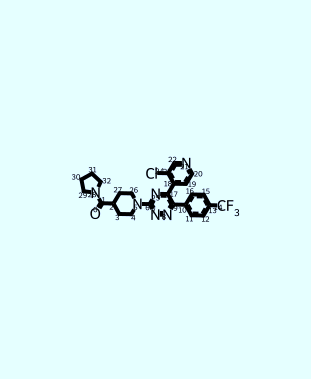 O=C(C1CCN(c2nnc(-c3ccc(C(F)(F)F)cc3)c(-c3ccncc3Cl)n2)CC1)N1CCCC1